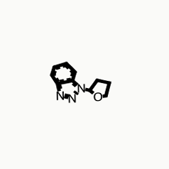 c1ccc2c(c1)nnn2C1CCCO1